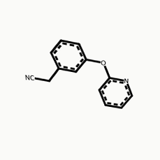 N#CCc1cccc(Oc2ccccn2)c1